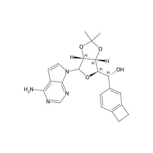 CC1(C)O[C@@H]2[C@@H]([C@H](O)c3ccc4c(c3)CC4)OC(n3ccc4c(N)ncnc43)[C@@H]2O1